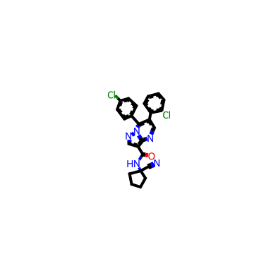 N#CC1(NC(=O)c2cnn3c(-c4ccc(Cl)cc4)c(-c4ccccc4Cl)cnc23)CCCC1